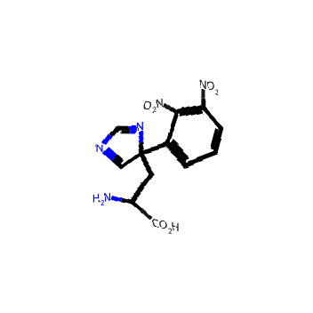 NC(CC1(c2cccc([N+](=O)[O-])c2[N+](=O)[O-])C=NC=N1)C(=O)O